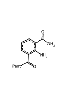 CCCC(C)C(=O)c1cccc(C(N)=O)c1N